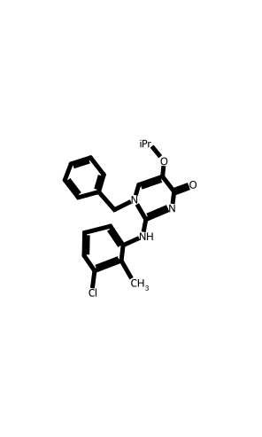 Cc1c(Cl)cccc1Nc1nc(=O)c(OC(C)C)cn1Cc1ccccc1